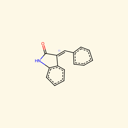 O=C1Nc2ccccc2/C1=C\c1ccccc1